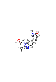 COCC(C)n1c(C2CC2)nc2ccc(-c3cc(C)c(=O)n(C)c3)cc21